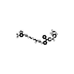 O=C(CCOCCOCCNc1ccc([N+](=O)[O-])c2nonc12)NCCOc1cccc(C(c2ccccc2)C2CCN(C(=O)N3CC[C@@H]4OCC(=O)N[C@@H]4C3)CC2)c1